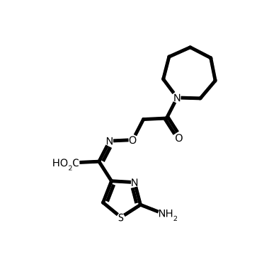 Nc1nc(C(=NOCC(=O)N2CCCCCC2)C(=O)O)cs1